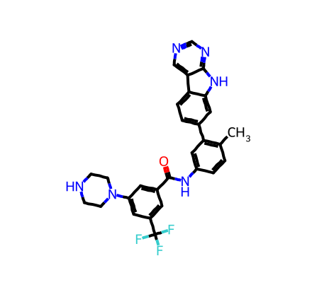 Cc1ccc(NC(=O)c2cc(N3CCNCC3)cc(C(F)(F)F)c2)cc1-c1ccc2c(c1)[nH]c1ncncc12